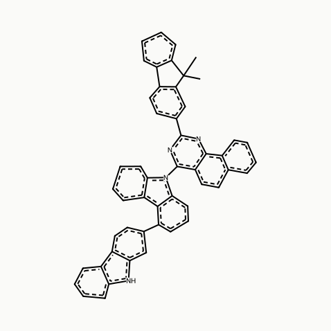 CC1(C)c2ccccc2-c2ccc(-c3nc(-n4c5ccccc5c5c(-c6ccc7c(c6)[nH]c6ccccc67)cccc54)c4ccc5ccccc5c4n3)cc21